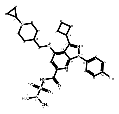 CN(C)S(=O)(=O)NC(=O)c1cc(OCC2CCN(C3CC3)CC2)c2c(C3CCC3)nn(-c3ccc(F)cc3)c2n1